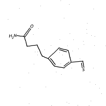 NC(=O)CCCc1ccc(C=S)cc1